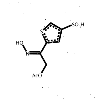 CC(=O)OC/C(=N/O)c1cc(S(=O)(=O)O)cs1